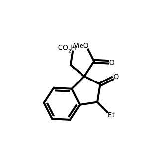 CCC1C(=O)C(CC(=O)O)(C(=O)OC)c2ccccc21